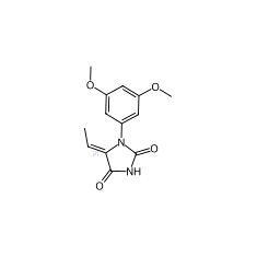 C/C=C1/C(=O)NC(=O)N1c1cc(OC)cc(OC)c1